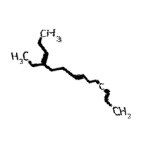 CCC=C=CCC=CCCC(=CCC)CC